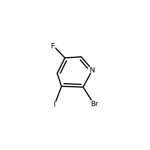 Fc1cnc(Br)c(I)c1